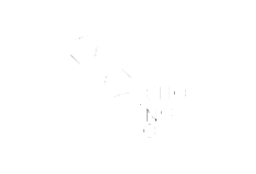 CC(C=O)(c1ccc(-c2ccccc2)cc1)N1OCCO1